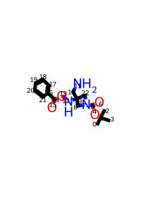 CC(C)(C)OC(=O)N1CC(CN)(NOC(=O)c2ccccc2)C1